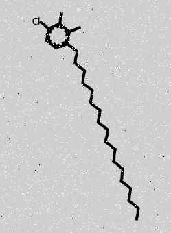 CCCCCCCCCCCCCCCCCCc1ccc(Cl)c(C)c1C